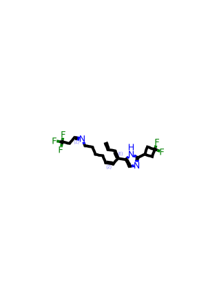 C=C/C=C(\C=C/CCCC/N=C\CC(F)(F)F)c1cnc(C2CC(F)(F)C2)[nH]1